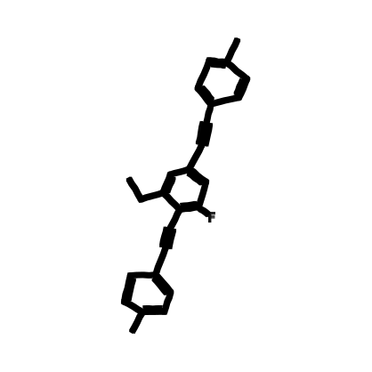 CCc1cc(C#Cc2ccc(C)cc2)cc(F)c1C#Cc1ccc(C)cc1